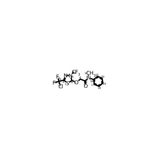 CN(C(=O)COC1SC(C(F)(F)Cl)=NN1C(F)(F)F)c1ccccc1